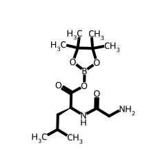 CC(C)C[C@H](NC(=O)CN)C(=O)OB1OC(C)(C)C(C)(C)O1